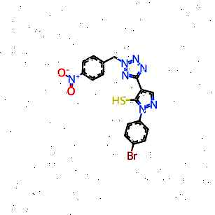 O=[N+]([O-])c1ccc(Cn2nnc(-c3cnn(-c4ccc(Br)cc4)c3S)n2)cc1